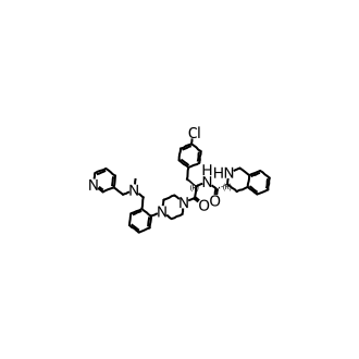 CN(Cc1cccnc1)Cc1ccccc1N1CCN(C(=O)[C@@H](Cc2ccc(Cl)cc2)NC(=O)[C@H]2Cc3ccccc3CN2)CC1